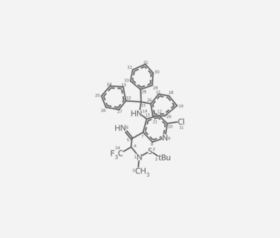 CN(SC(C)(C)C)C(C(=N)c1cnc(Cl)cc1NC(c1ccccc1)(c1ccccc1)c1ccccc1)C(F)(F)F